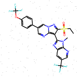 CCS(=O)(=O)c1nn2cc(-c3ccc(OC(F)(F)F)cc3)cnc2c1-c1nc2cc(C(F)(F)F)cnc2n1C